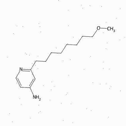 COCCCCCCCCc1cc(N)ccn1